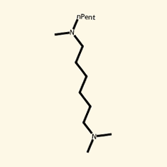 CCCCCN(C)CCCCCCN(C)C